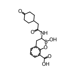 O=C1CCC(CC(=O)NC2Cc3cccc(C(=O)O)c3OB2O)CC1